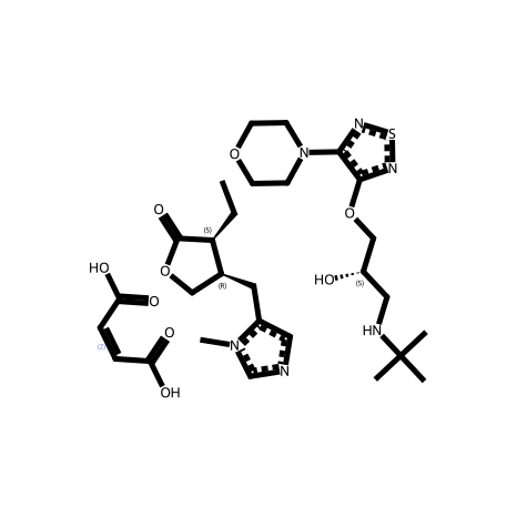 CC(C)(C)NC[C@H](O)COc1nsnc1N1CCOCC1.CC[C@@H]1C(=O)OC[C@@H]1Cc1cncn1C.O=C(O)/C=C\C(=O)O